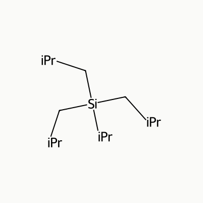 CC(C)C[Si](CC(C)C)(CC(C)C)C(C)C